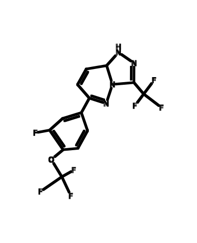 Fc1cc(C2=NN3C(C(F)(F)F)=NNC3C=C2)ccc1OC(F)(F)F